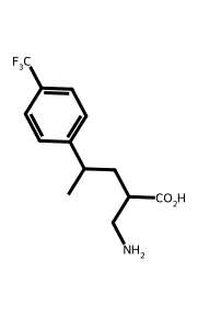 CC(CC(CN)C(=O)O)c1ccc(C(F)(F)F)cc1